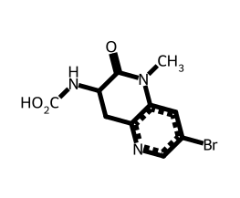 CN1C(=O)C(NC(=O)O)Cc2ncc(Br)cc21